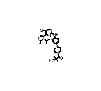 Cc1ncc(-c2nc(Nc3ccc(N4CCN(C(=O)C(C)(C)O)CC4)cc3)ncc2Cl)n1C(C)C